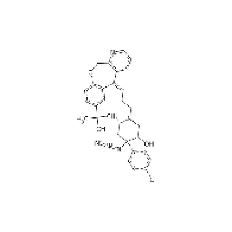 CC(C)(O)c1ccc2c(c1)C(=CCCN1CCC(N=[N+]=[N-])(c3ccc(Cl)cc3)C(O)C1)c1cccnc1CO2